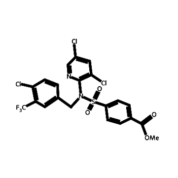 COC(=O)c1ccc(S(=O)(=O)N(Cc2ccc(Cl)c(C(F)(F)F)c2)c2ncc(Cl)cc2Cl)cc1